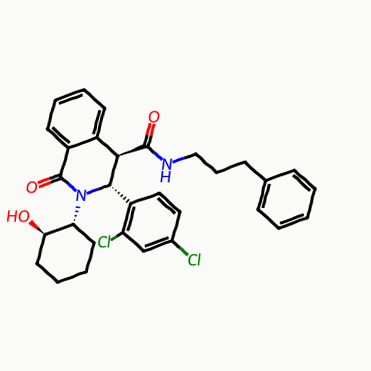 O=C(NCCCc1ccccc1)[C@@H]1c2ccccc2C(=O)N([C@@H]2CCCC[C@H]2O)[C@H]1c1ccc(Cl)cc1Cl